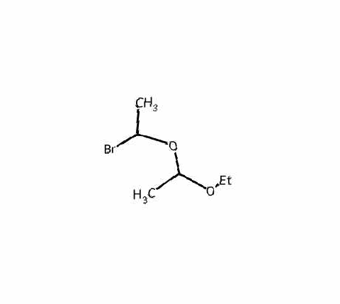 CCOC(C)OC(C)Br